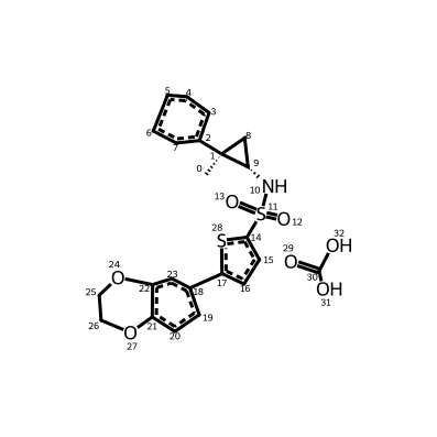 C[C@]1(c2ccccc2)C[C@@H]1NS(=O)(=O)c1ccc(-c2ccc3c(c2)OCCO3)s1.O=C(O)O